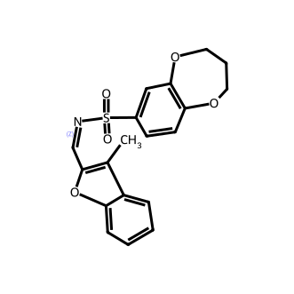 Cc1c(/C=N\S(=O)(=O)c2ccc3c(c2)OCCCO3)oc2ccccc12